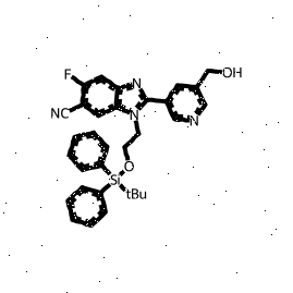 CC(C)(C)[Si](OCCn1c(-c2cncc(CO)c2)nc2cc(F)c(C#N)cc21)(c1ccccc1)c1ccccc1